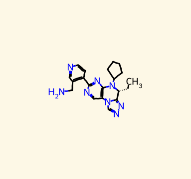 CC[C@@H]1c2nncn2-c2cnc(-c3ccncc3CN)nc2N1C1CCCC1